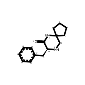 O=C1NC2(CCCC2)CN[C@H]1Cc1ccccc1